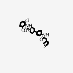 O=C(Cc1ccsc1)Nc1ccc(C2CCN(C(=O)Nc3c(Cl)cccc3Cl)CC2)cc1